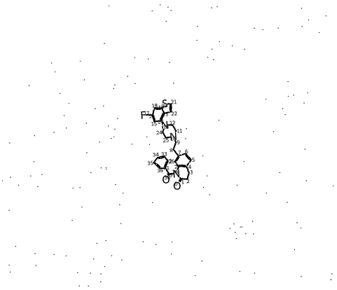 O=C1CCc2ccc(CCN3CCN(c4cc(F)cc5sccc45)CC3)cc2N1C(=O)c1ccccc1